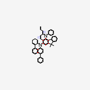 C=C/C=C(\C=C/c1cc2c(cc1N(C1=CCCC=C1c1ccccc1)c1ccc(-c3ccccc3)cc1)C(C)(C)c1ccccc1-2)N(c1ccccc1)c1ccccc1